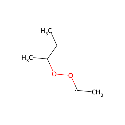 C[CH]OOC(C)CC